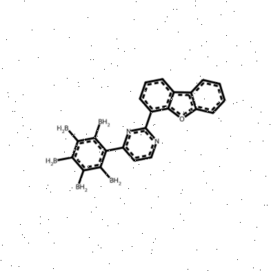 Bc1c(B)c(B)c(-c2ccnc(-c3cccc4c3oc3ccccc34)n2)c(B)c1B